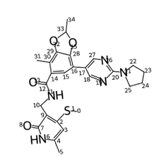 CSc1cc(C)[nH]c(=O)c1CNC(=O)c1cc(-c2cnc(N3CCCC3)nc2)c2c(c1C)OC(C)O2